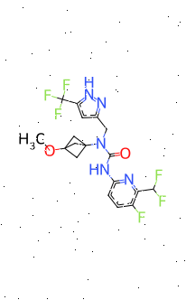 COC12CC(N(Cc3cc(C(F)(F)F)[nH]n3)C(=O)Nc3ccc(F)c(C(F)F)n3)(C1)C2